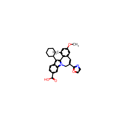 COc1cc(C)c2c(c1)C=C(c1ncco1)Cn1c-2c(C2CCCCC2)c2ccc(C(=O)O)cc21